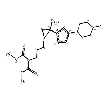 CC(C)(C)OC(=O)N(CCCC1CC1(C(=O)O)c1cn([C@H]2CC[C@H](C)CC2)cn1)C(=O)OC(C)(C)C